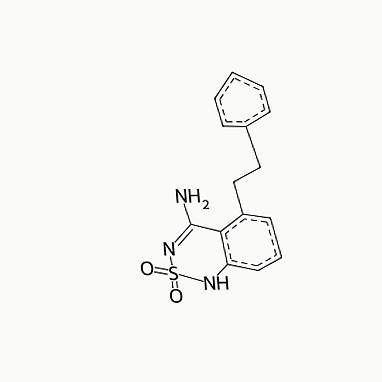 NC1=NS(=O)(=O)Nc2cccc(CCc3ccccc3)c21